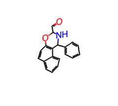 O=CC1NC(c2ccccc2)c2c(ccc3ccccc23)O1